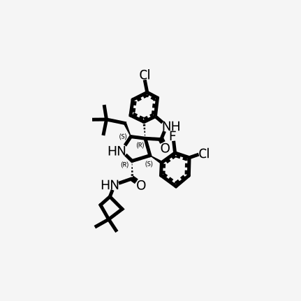 CC(C)(C)C[C@@H]1N[C@@H](C(=O)NC2CC(C)(C)C2)[C@H](c2cccc(Cl)c2F)[C@]12C(=O)Nc1cc(Cl)ccc12